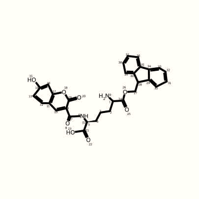 NC(CCC[C@H](NC(=O)c1cc2ccc(O)cc2oc1=O)C(=O)O)C(=O)OCC1c2ccccc2-c2ccccc21